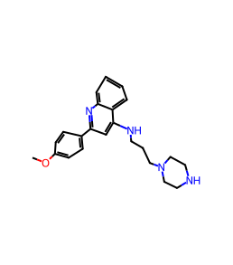 COc1ccc(-c2cc(NCCCN3CCNCC3)c3ccccc3n2)cc1